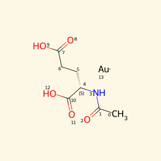 CC(=O)N[C@@H](CCC(=O)O)C(=O)O.[Au]